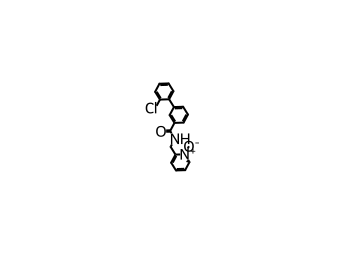 O=C(NCc1cccc[n+]1[O-])c1cccc(-c2ccccc2Cl)c1